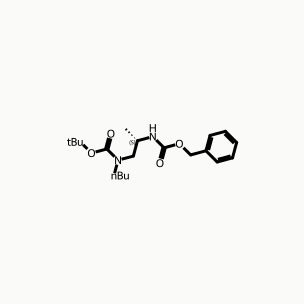 CCCCN(C[C@H](C)NC(=O)OCc1ccccc1)C(=O)OC(C)(C)C